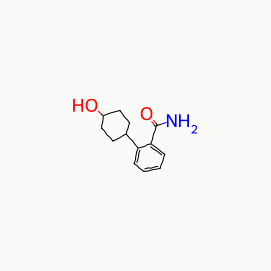 NC(=O)c1ccccc1C1CCC(O)CC1